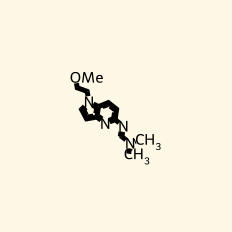 COCCn1ccc2nc(N=CN(C)C)ccc21